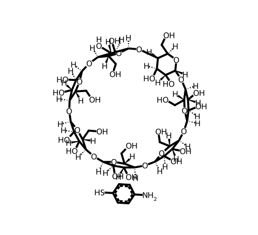 Nc1ccc(S)cc1.OC[C@H]1O[C@@H]2O[C@H]3[C@H](O)[C@@H](O)[C@@H](O[C@H]4[C@H](O)[C@@H](O)[C@@H](O[C@H]5[C@H](O)[C@@H](O)[C@@H](O[C@H]6[C@H](O)[C@@H](O)[C@@H](O[C@H]7[C@H](O)[C@@H](O)[C@@H](O[C@H]8[C@H](O)[C@@H](O)[C@@H](O[C@H]1[C@H](O)[C@H]2O)O[C@@H]8CO)O[C@@H]7CO)O[C@@H]6CO)O[C@@H]5CO)O[C@@H]4CO)O[C@@H]3CO